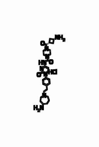 Cl.NC1CCCN(CCc2ccc(-n3ccc(NC(=O)N4CCN(C(=O)[C@H]5C[C@@H](N)C5)CC4)nc3=O)cc2)CC1